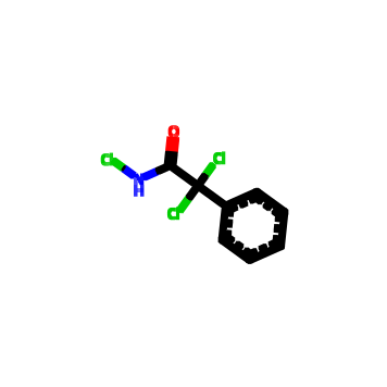 O=C(NCl)C(Cl)(Cl)c1ccccc1